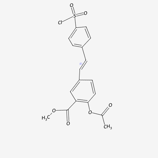 COC(=O)c1cc(/C=C/c2ccc(S(=O)(=O)Cl)cc2)ccc1OC(C)=O